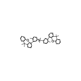 Cc1ccc([Si](C)(C)c2ccc(C)c(-c3cccc4c3Oc3ccccc3C4(C)C)c2)cc1-c1cccc2c1Oc1ccccc1C2(C)C